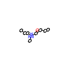 c1ccc(-c2ccc3cc(-c4nc(-c5ccccc5)nc(-c5ccc6c(c5)oc5ccc(-c7ccc8ccccc8c7)cc56)n4)ccc3c2)cc1